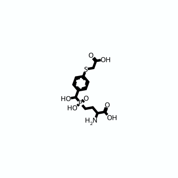 NC(CCP(=O)(O)C(O)c1ccc(SCC(=O)O)cc1)C(=O)O